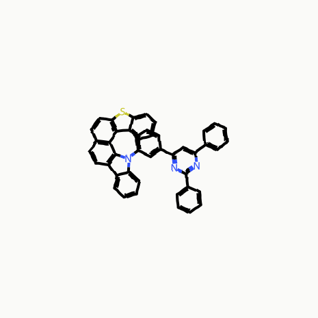 c1ccc(-c2cc(-c3cccc(-n4c5ccccc5c5ccc6ccc7sc8ccccc8c7c6c54)c3)nc(-c3ccccc3)n2)cc1